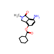 CN1Cc2c(OC(=O)C3CCCCC3)ccc(N)c2C1=O